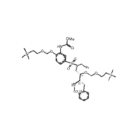 COC(=O)Nc1cc(S(=O)(=O)N(CC(C)C)C[C@H](OCOCC[Si](C)(C)C)[C@H](Cc2ccccc2)NC(=O)O)ccc1OCOCC[Si](C)(C)C